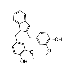 COc1cc(CC2=Cc3ccccc3C2Cc2ccc(O)c(OC)c2)ccc1O